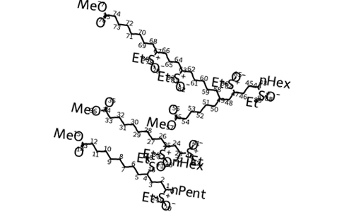 CCCCCC(CCC(CCCCCCCCC(=O)OC)[S+]([O-])CC)[S+]([O-])CC.CCCCCCC(CC(CCCCCCCCC(=O)OC)[S+]([O-])CC)[S+]([O-])CC.CCCCCCC(CCC(CC(CCCCCC(=O)OC)CCCCCC(CCCC(CCCCCCCC(=O)OC)[S+]([O-])CC)[S+]([O-])CC)[S+]([O-])CC)[S+]([O-])CC